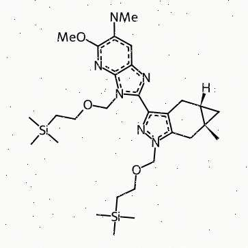 CNc1cc2nc(-c3nn(COCC[Si](C)(C)C)c4c3C[C@@H]3C[C@]3(C)C4)n(COCC[Si](C)(C)C)c2nc1OC